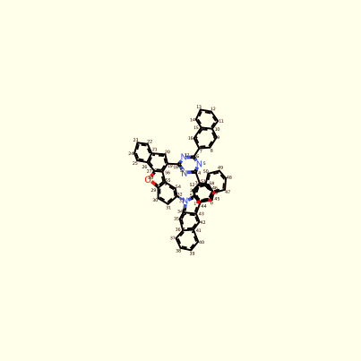 c1ccc(-c2nc(-c3ccc4ccccc4c3)nc(-c3cc4ccccc4c4oc5ccc(-n6c7cc8ccccc8cc7c7cc8ccccc8cc76)cc5c34)n2)cc1